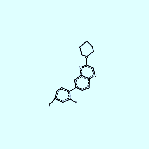 Fc1ccc(-c2ccc3ncc(N4CCCCC4)nc3c2)c(F)c1